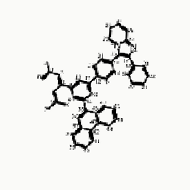 C=C(C)/C=C(\C=C(C)C)c1cc(-c2ccc(-c3c(-c4ccccc4)nc4ccccn34)cc2)cc(-c2cc3ccccc3c3ccccc23)c1